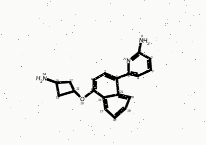 Nc1cccc(-c2ccc(OC3CC(N)C3)c3ccccc23)n1